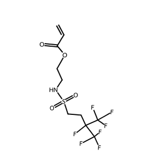 C=CC(=O)OCCNS(=O)(=O)CCC(F)(C(F)(F)F)C(F)(F)F